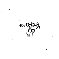 Cc1nnn(C)c1-c1cnc2c3ccc(C(C)(C)O)cc3n(C(CC3CCN(C)CC3)c3cccc(F)c3)c2c1